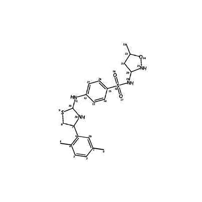 Cc1ccc(C)c(C2CSC(Nc3ccc(S(=O)(=O)NC4CC(C)ON4)cc3)N2)c1